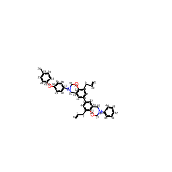 C=CCc1cc(-c2cc(CC=C)c3c(c2)CN(c2ccc(Oc4ccc(C)cc4)cc2)CO3)cc2c1OCN(c1ccccc1)C2